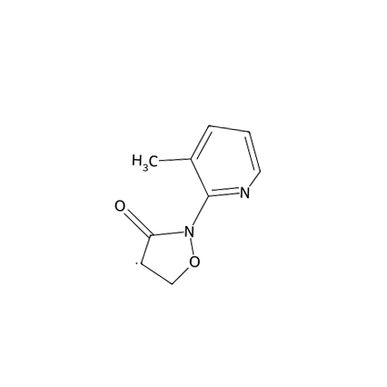 Cc1cccnc1N1OC[CH]C1=O